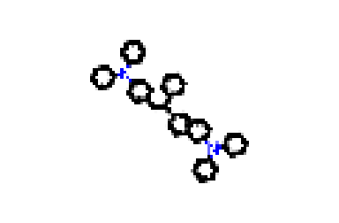 C(=C(/c1ccccc1)c1ccc2cc(N(c3ccccc3)c3ccccc3)ccc2c1)/c1ccc(N(c2ccccc2)c2ccccc2)cc1